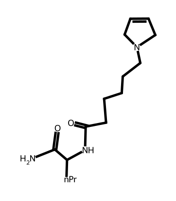 CCCC(NC(=O)CCCCCN1CC=CC1)C(N)=O